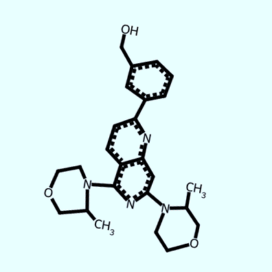 CC1COCCN1c1cc2nc(-c3cccc(CO)c3)ccc2c(N2CCOCC2C)n1